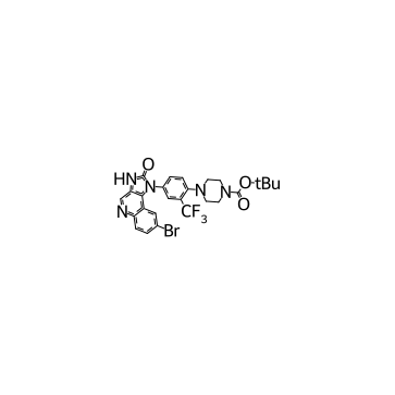 CC(C)(C)OC(=O)N1CCN(c2ccc(-n3c(=O)[nH]c4cnc5ccc(Br)cc5c43)cc2C(F)(F)F)CC1